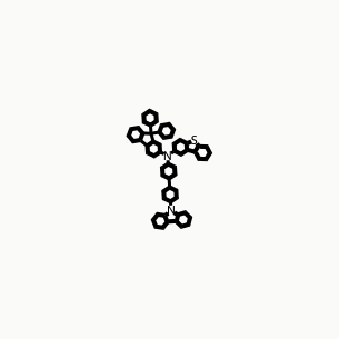 c1ccc(C2(c3ccccc3)c3ccccc3-c3ccc(N(c4ccc(-c5ccc(-n6c7ccccc7c7ccccc76)cc5)cc4)c4ccc5sc6ccccc6c5c4)cc32)cc1